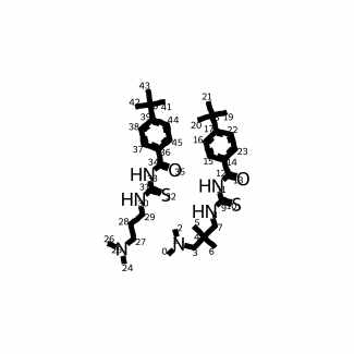 CN(C)CC(C)(C)CNC(=S)NC(=O)c1ccc(C(C)(C)C)cc1.CN(C)CCCNC(=S)NC(=O)c1ccc(C(C)(C)C)cc1